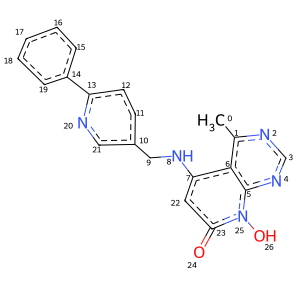 Cc1ncnc2c1c(NCc1ccc(-c3ccccc3)nc1)cc(=O)n2O